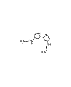 NCCNc1ccnc(-c2cc(NCCN)ccn2)c1